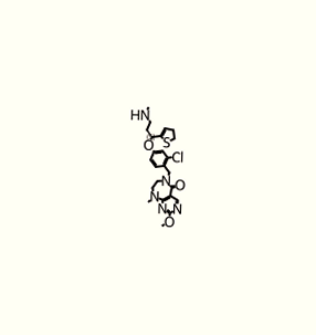 CNCC[C@H](Oc1ccc(CN2CCN(C)c3nc(OC)ncc3C2=O)c(Cl)c1)C1=CCCS1